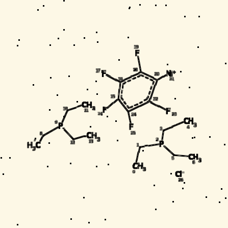 CCP(CC)CC.CCP(CC)CC.Fc1c(F)c(F)[c]([Ni+])c(F)c1F.[Cl-]